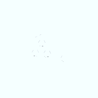 CN(O)C(=O)CCc1cnc(-c2ccccc2)c(-c2ccc(S(C)(=O)=O)cc2)c1